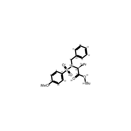 COc1ccc(S(=O)(=O)N(Cc2ccccc2)[C@H](C(=O)OC(C)(C)C)C(C)C)cc1